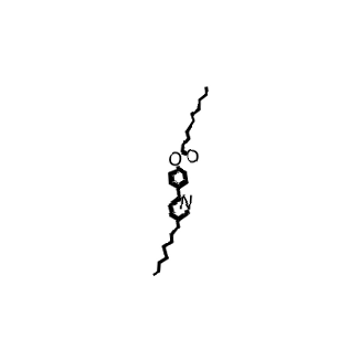 CCCCCCCCCC(=O)Oc1ccc(-c2ccc(CCCCCCCC)cn2)cc1